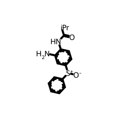 CC(C)C(=O)Nc1ccc([S+]([O-])c2ccccc2)cc1N